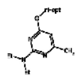 CCCCCCCOc1cc(C)nc(N(CC)CC)n1